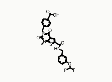 Cn1c(=O)n(Cc2ccc(C(=O)O)cc2)c(=O)c2cc(C(=O)NCc3cccc(OC(F)F)c3)sc21